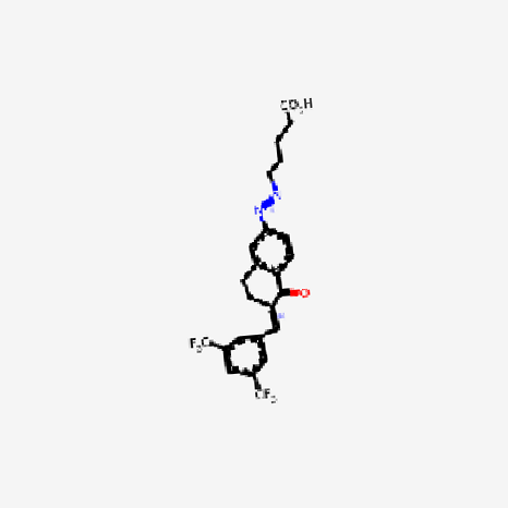 O=C(O)CCCC/N=N/c1ccc2c(c1)CC/C(=C\c1cc(C(F)(F)F)cc(C(F)(F)F)c1)C2=O